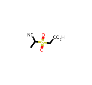 CC(C#N)S(=O)(=O)CC(=O)O